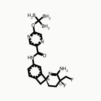 BC(B)(B)Oc1cnc(C(=O)Nc2ccc3c(c2)[C@@]2(CC[C@@](F)(CF)C(N)=N2)C3)cn1